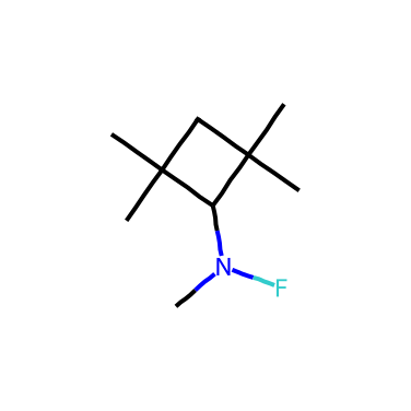 CN(F)C1C(C)(C)CC1(C)C